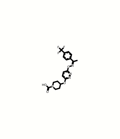 CC(=NOc1ccc(OC2CCN(C(=O)O)CC2)nn1)c1ccc(C(F)(F)F)cc1